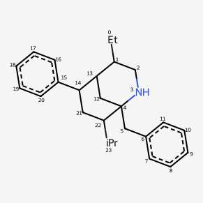 CCC1CNC2(Cc3ccccc3)CC1C(c1ccccc1)CC2C(C)C